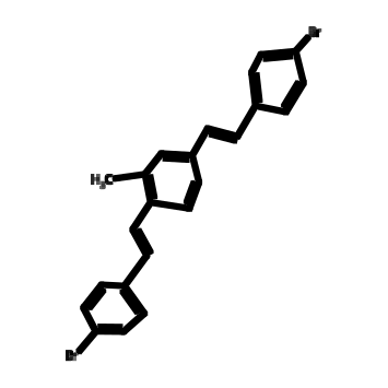 Cc1cc(C=Cc2ccc(Br)cc2)ccc1C=Cc1ccc(Br)cc1